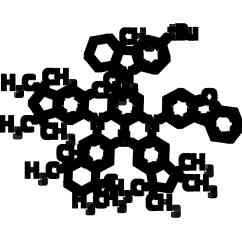 Cc1cc2c(cc1N1c3cc4c(cc3B3c5cc6c(cc5N(c5ccc7oc8ccccc8c7c5)c5cc(N7c8ccc(C(C)(C)C)cc8C8(C)CCCCC78C)cc1c53)C(C)(C)CC6(C)C)C(C)(C)CCC4(C)C)C(C)(C)CC2(C)C